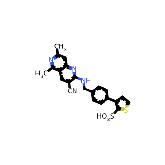 Cc1cc2nc(NCc3ccc(-c4ccsc4S(=O)(=O)O)cc3)c(C#N)cc2c(C)n1